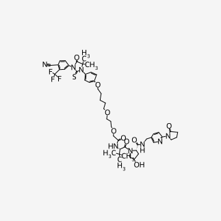 CC(C)(C)[C@H](NC(=O)COCCCOCCCCCOc1ccc(N2C(=S)N(c3ccc(C#N)c(C(F)(F)F)c3)C(=O)C2(C)C)cc1)C(=O)N1C[C@H](O)C[C@H]1C(=O)NCc1ccc(N2CCCC2=O)nc1